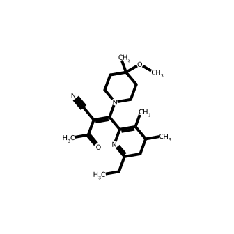 CCC1=NC(/C(=C(/C#N)C(C)=O)N2CCC(C)(OC)CC2)=C(C)C(C)C1